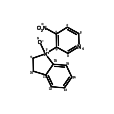 O=[N+]([O-])c1ccncc1[N+]1([O-])CCc2ccccc21